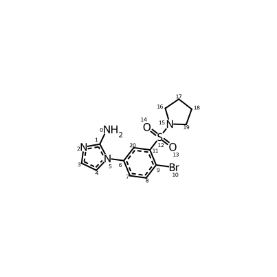 Nc1nccn1-c1ccc(Br)c(S(=O)(=O)N2CCCC2)c1